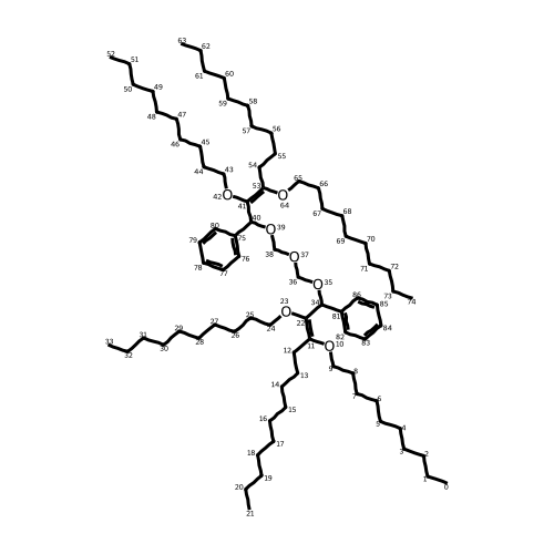 CCCCCCCCCCOC(CCCCCCCCCC)=C(OCCCCCCCCCC)C(OCOCOC(C(OCCCCCCCCCC)=C(CCCCCCCCCC)OCCCCCCCCCC)c1ccccc1)c1ccccc1